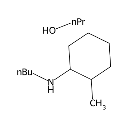 CCCCNC1CCCCC1C.CCCO